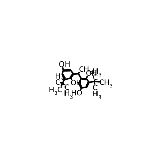 CC(c1cc(O)cc(C(C)(C)C)c1O)c1cc(O)cc(C(C)(C)C)c1O